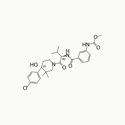 COC(=O)Nc1cccc(C(=O)N[C@@H](C(=O)N2CC[C@](O)(c3ccc(Cl)cc3)C(C)(C)C2)C(C)C)c1